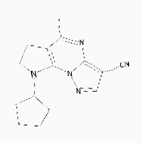 Cc1nc2c(C#N)cnn2c2c1CCN2C1CCCC1